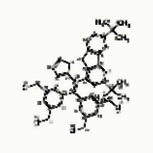 CC(C)(C)c1ccc2c(c1)-c1cc(C(C)(C)C)c[c]([Zr]([C]3=CC=CC3)=[C](c3cc(CCl)cc(CCl)c3)c3cc(CCl)cc(CCl)c3)c1C2